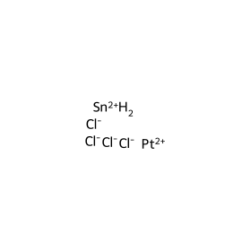 [Cl-].[Cl-].[Cl-].[Cl-].[Pt+2].[SnH2+2]